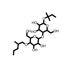 CCCC(C)COC1C(CO)OC(OC2C(CO)OC(OC(C)(C)CC)C(O)C2O)C(O)C1O